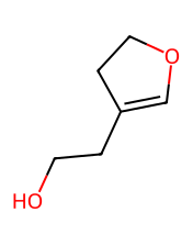 OCCC1=COCC1